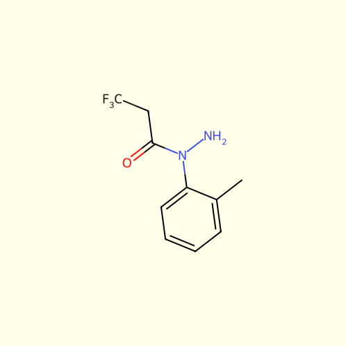 Cc1ccccc1N(N)C(=O)CC(F)(F)F